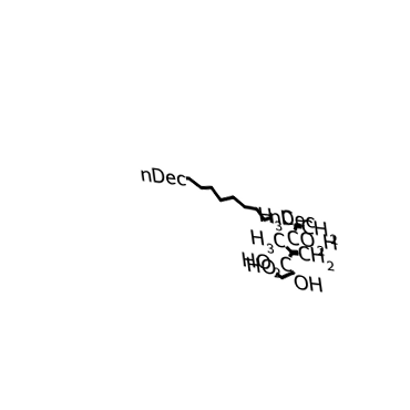 C=C(C)C(=O)O.C=C(C)C(=O)O.CCCCCCCCCCCCCCCCCCCCCCCCCCCC.OCCO